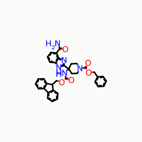 NC(=O)c1cccc2[nH]c(C3(NC(=O)OCC4c5ccccc5-c5ccccc54)CCN(C(=O)OCc4ccccc4)CC3)nc12